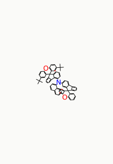 CC(C)(C)c1ccc2c(c1)C1(c3cc(C(C)(C)C)ccc3O2)c2ccccc2-c2c(N(c3ccc4c(c3)C3(c5ccccc5Oc5ccccc53)c3ccccc3-4)c3cccc4ccccc34)cccc21